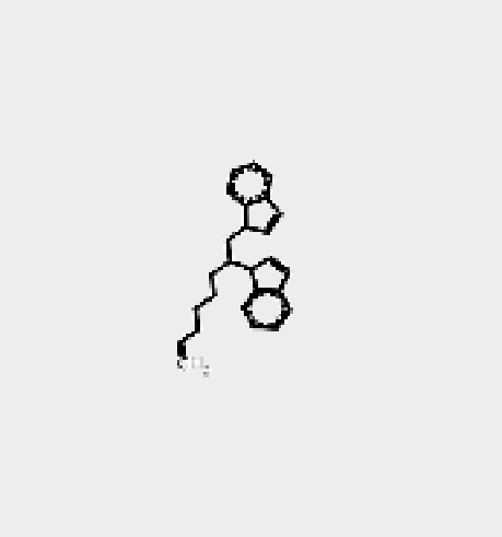 C=CCCCCC(CC1C=Cc2ccccc21)C1C=Cc2ccccc21